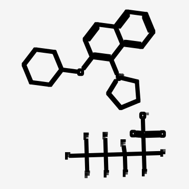 O=S(=O)([O-])C(F)(F)C(F)(F)C(F)(F)C(F)(F)F.c1ccc2c([S+]3CCCC3)c(OC3CCCCC3)ccc2c1